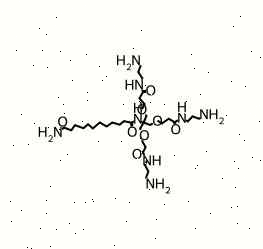 NCCCNC(=O)CCOCC(COCCC(=O)NCCCN)(COCCC(=O)NCCCN)NC(=O)CCCCCCCCCCC(N)=O